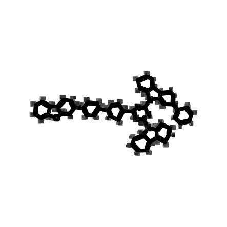 c1ccc(-c2ccc3c4ccccc4n(-c4nc(-c5ccc(-c6ccc(-c7ccc8c(c7)oc7ccccc78)cc6)cc5)nc(-n5c6ccccc6c6ccccc65)n4)c3c2)cc1